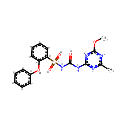 COc1nc(C)nc(NC(=O)NS(=O)(=O)c2ccccc2Oc2ccccc2)n1